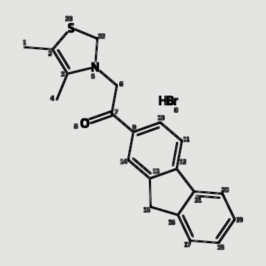 Br.CC1=C(C)N(CC(=O)c2ccc3c(c2)Cc2ccccc2-3)CS1